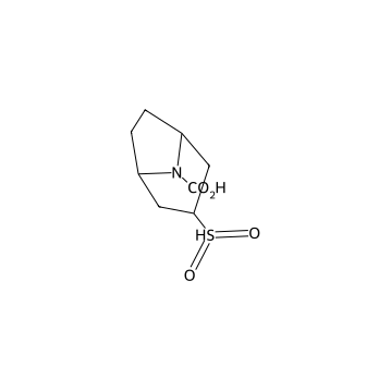 O=C(O)N1C2CCC1CC([SH](=O)=O)C2